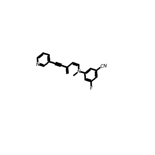 C=C(C#Cc1cccnc1)/C=C\N(C)c1cc(F)cc(C#N)c1